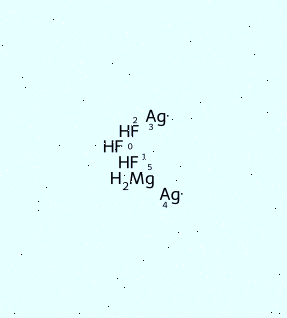 F.F.F.[Ag].[Ag].[MgH2]